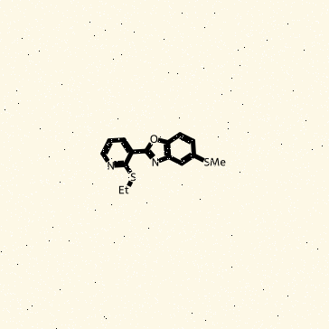 CCSc1ncccc1-c1nc2cc(SC)ccc2o1